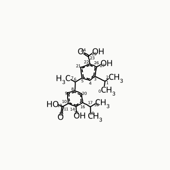 CC(C)c1cc(C(C)c2cc(C(=O)O)c(O)c(C(C)C)c2)cc(C(=O)O)c1O